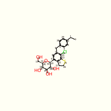 CCc1ccc(Cc2cc([C@@H]3O[C@H](CO)[C@@H](O)[C@H](O)[C@H]3O)c3c(c2Cl)SCC3)cc1